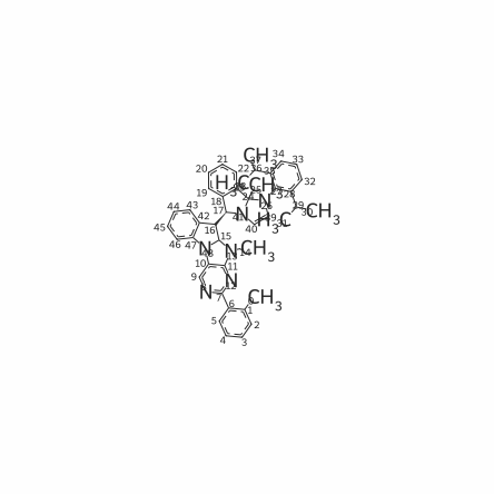 Cc1ccccc1-c1ncc2c(n1)N(C)C1C([C@H]3c4ccccc4C4(C)N(c5c(C(C)C)cccc5C(C)C)C=CN34)c3ccccc3N21